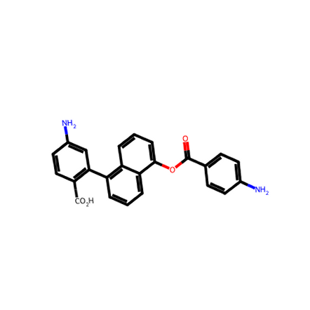 Nc1ccc(C(=O)Oc2cccc3c(-c4cc(N)ccc4C(=O)O)cccc23)cc1